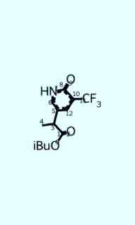 CC(C)COC(=O)C(C)c1c[nH]c(=O)c(C(F)(F)F)c1